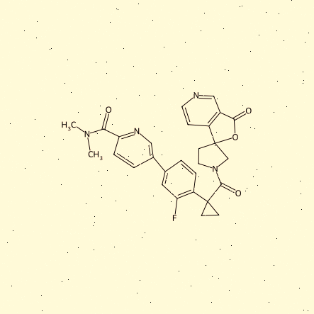 CN(C)C(=O)c1ccc(-c2ccc(C3(C(=O)N4CCC5(C4)OC(=O)c4cnccc45)CC3)c(F)c2)cn1